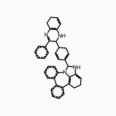 C1=CC2=C(CC1)N=C(c1ccccc1)C(C1C=CC(C3NC4=CCCC5=C4N3c3ccccc3-c3ccccc35)=CC1)N2